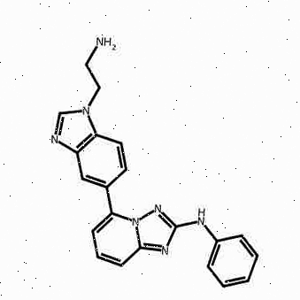 NCCn1cnc2cc(-c3cccc4nc(Nc5ccccc5)nn34)ccc21